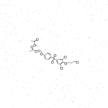 CC(=O)OC[C@H](COc1ccc(S(=O)(=O)c2cc(Cl)c(OCCCCl)c(Cl)c2)cc1)OC(C)=O